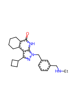 CCNCc1cccc(Cn2nc(C3CCC3)c3c4c(c(=O)[nH]c32)CCCC4)c1